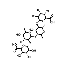 CC1O[C@@H](O[C@@H]2C(C)O[C@@H](C)C(O[C@H]3OC(C(=O)O)[C@@H](O)[C@@H](O)C3O)[C@H]2O)C(O[C@H]2OC(C(=O)O)[C@@H](O)[C@@H](O)C2O)[C@@H](O)[C@@H]1O